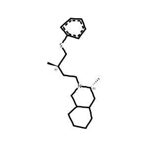 C[C@H](CCN1CC2CCCCC2C[C@H]1C)CSc1ccccc1